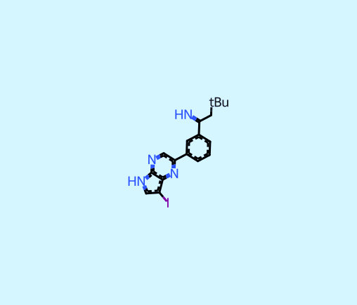 CC(C)(C)CC(=N)c1cccc(-c2cnc3[nH]cc(I)c3n2)c1